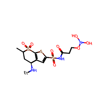 CCN[C@H]1CC(C)S(=O)(=O)c2sc(S(=O)(=O)NC(=O)CCON(O)O)cc21